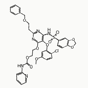 COc1ccc(Cl)c(Oc2c(NS(=O)(=O)c3ccc4c(c3)OCO4)nc(CCOCc3ccccc3)nc2OCCOC(=O)Nc2ccccn2)c1